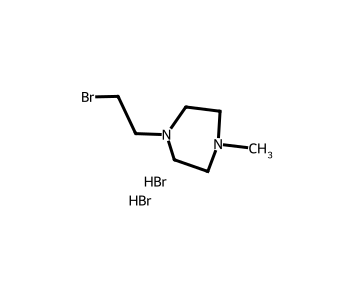 Br.Br.CN1CCN(CCBr)CC1